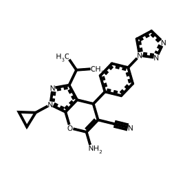 CC(C)c1nn(C2CC2)c2c1C(c1ccc(-n3ccnn3)cc1)C(C#N)=C(N)O2